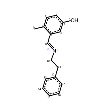 Cc1ccc(O)cc1/C=N/CCc1ccccc1